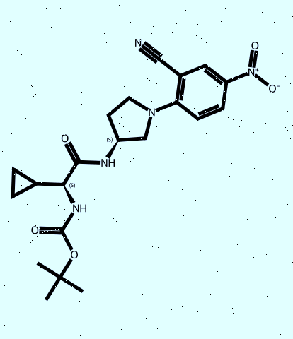 CC(C)(C)OC(=O)N[C@H](C(=O)N[C@H]1CCN(c2ccc([N+](=O)[O-])cc2C#N)C1)C1CC1